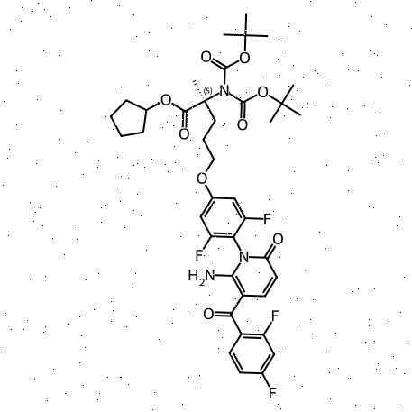 CC(C)(C)OC(=O)N(C(=O)OC(C)(C)C)[C@@](C)(CCCOc1cc(F)c(-n2c(N)c(C(=O)c3ccc(F)cc3F)ccc2=O)c(F)c1)C(=O)OC1CCCC1